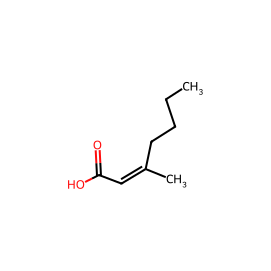 CCCC/C(C)=C\C(=O)O